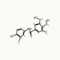 CC(=O)c1ccc(NC(=O)c2cc(Cl)c(OC(C)C)c(OC(C)C)c2)cc1F